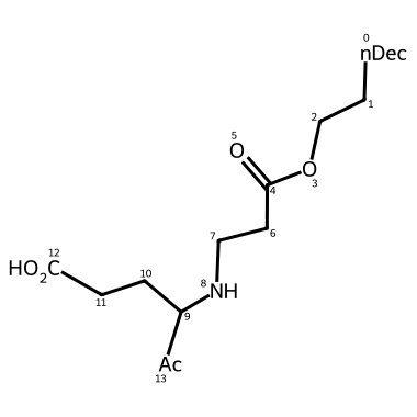 CCCCCCCCCCCCOC(=O)CCNC(CCC(=O)O)C(C)=O